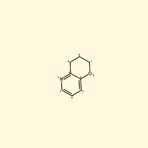 [c]1cnc2c(c1)OCCC2